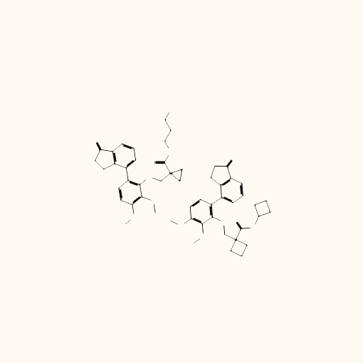 COc1ccc(-c2cccc3c2CCC3=O)c(OCC2(C(=O)OC3CCC3)CCC2)c1OC.COc1ccc(-c2cccc3c2CCC3=O)c(OCC2(C(=O)OCCCF)CC2)c1OC